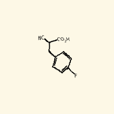 N#CC(Cc1ccc(F)cc1)C(=O)O